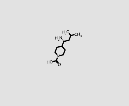 CC(C)C[C@@H](N)C1CCN(C(=O)O)CC1